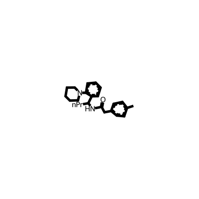 CCCC(NC(=O)Cc1ccc(C)cc1)c1ccccc1N1CCCCC1